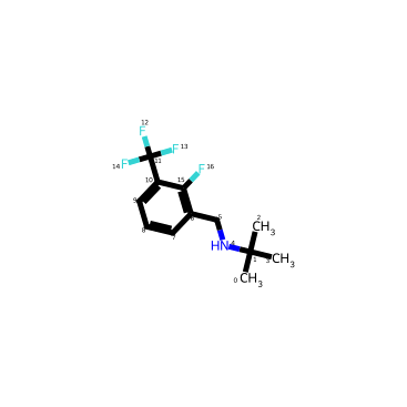 CC(C)(C)NCc1cccc(C(F)(F)F)c1F